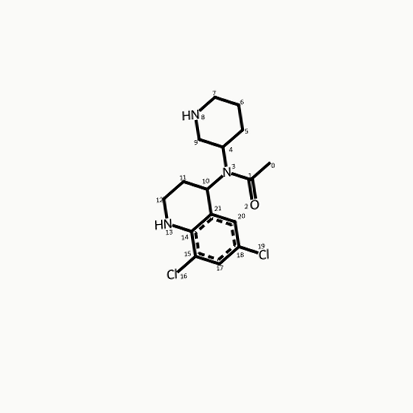 CC(=O)N(C1CCCNC1)C1CCNc2c(Cl)cc(Cl)cc21